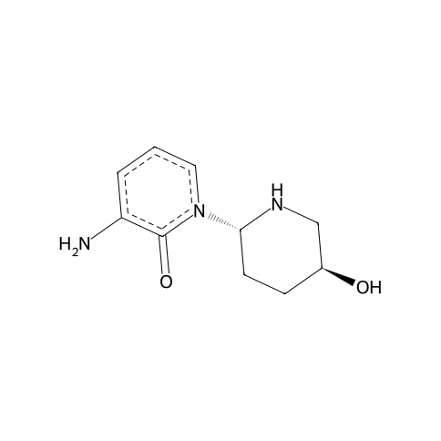 Nc1cccn([C@H]2CC[C@H](O)CN2)c1=O